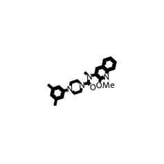 COc1nc2ccccc2cc1N(C)C(=O)N1CCN(c2cc(C)cc(C)c2)CC1